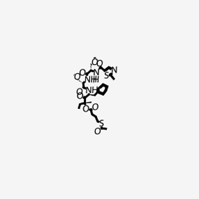 CC[C@@](C)(OC(=O)CCCSC(C)=O)C(=O)[C@H](Cc1ccccc1)NC(=O)[C@H](COC)NC(=O)[C@H](COC)NC(=O)c1cnc(C)s1